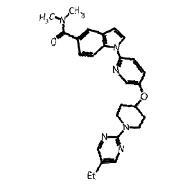 CCc1cnc(N2CCC(Oc3ccc(-n4ccc5cc(C(=O)N(C)C)ccc54)nc3)CC2)nc1